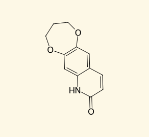 O=c1ccc2cc3c(cc2[nH]1)OCCCO3